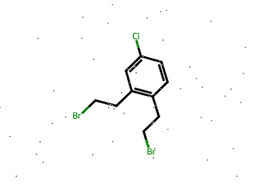 Clc1ccc(CCBr)c(CCBr)c1